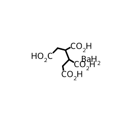 O=C(O)CC(C(=O)O)C(CC(=O)O)C(=O)O.[BaH2]